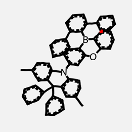 Cc1ccc2c(c1)C(c1ccccc1)(c1ccccc1)c1cc(C)ccc1N2c1ccc2c(c1)Oc1ccccc1B2c1c(-c2ccccc2)cccc1-c1ccccc1